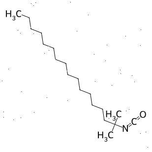 CCCCCCCCCCCCCCCC(C)(C)N=C=O